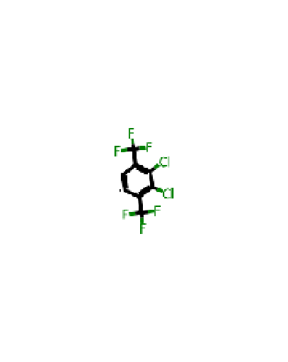 FC(F)(F)c1[c]cc(C(F)(F)F)c(Cl)c1Cl